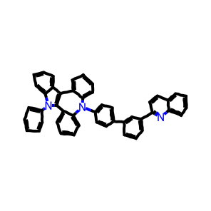 c1ccc(-n2c3c(c4ccccc42)-c2ccccc2N(c2ccc(-c4cccc(-c5ccc6ccccc6n5)c4)cc2)c2ccccc2-3)cc1